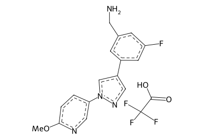 COc1ccc(-n2cc(-c3cc(F)cc(CN)c3)cn2)cn1.O=C(O)C(F)(F)F